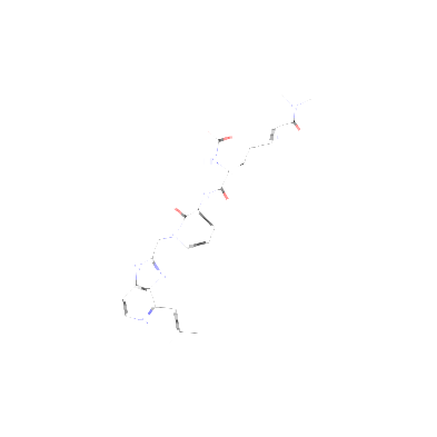 CC(C)=Cc1nccc2[nH]c(Cn3cccc(NC(=O)[C@H](CC/C=C/C(=O)N(C)C)NC(=O)O)c3=O)nc12